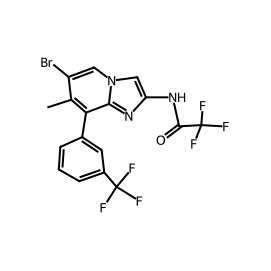 Cc1c(Br)cn2cc(NC(=O)C(F)(F)F)nc2c1-c1cccc(C(F)(F)F)c1